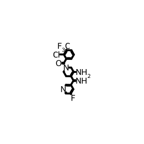 N=C(C1=C(N)CN(C(=O)c2cccc(C(F)(F)F)c2Cl)CC1)c1cncc(F)c1